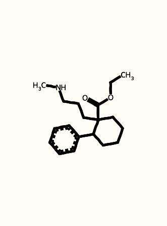 CCOC(=O)C1(CCCNC)CCCCC1c1ccccc1